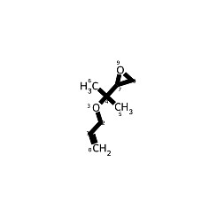 C=CCOC(C)(C)C1CO1